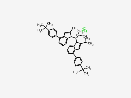 CC1=Cc2c(-c3ccc(C(C)(C)C)cc3)cccc2[CH]1[Zr]([CH]1C(C(C)C)=Cc2c(-c3ccc(C(C)(C)C)cc3)cccc21)[SiH](C)C.Cl.Cl